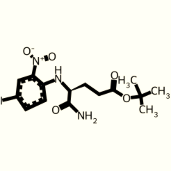 CC(C)(C)OC(=O)CC[C@H](Nc1ccc(I)cc1[N+](=O)[O-])C(N)=O